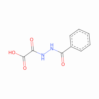 O=C(O)C(=O)NNC(=O)c1ccccc1